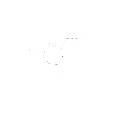 [CH2]c1cc(CC(C)C)cc(SC)c1